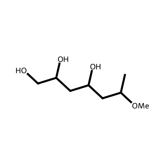 COC(C)CC(O)CC(O)CO